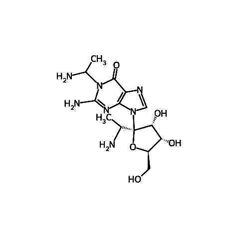 CC(N)n1c(N)nc2c(ncn2[C@]2(C(C)N)O[C@H](CO)[C@@H](O)[C@H]2O)c1=O